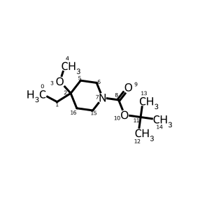 CCC1(OC)CCN(C(=O)OC(C)(C)C)CC1